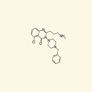 NCCCc1nc2cccc(Cl)c2c(=O)n1N1CCN(Cc2ccccc2)CC1